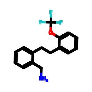 NCc1ccccc1[CH]Cc1ccccc1OC(F)(F)F